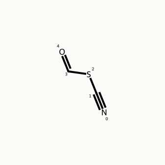 N#CSC=O